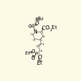 CCOC(=O)C1CC(C=CCP(=O)(OCC)OCC)CCN1C(=O)OC(C)(C)C